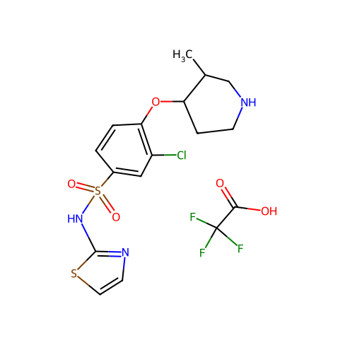 CC1CNCCC1Oc1ccc(S(=O)(=O)Nc2nccs2)cc1Cl.O=C(O)C(F)(F)F